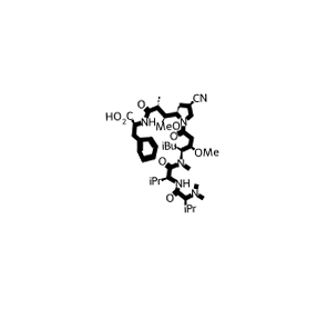 CC[C@H](C)[C@@H]([C@@H](CC(=O)N1C[C@H](C#N)C[C@H]1[C@H](OC)[C@@H](C)C(=O)N[C@@H](Cc1ccccc1)C(=O)O)OC)N(C)C(=O)[C@@H](NC(=O)[C@H](C(C)C)N(C)C)C(C)C